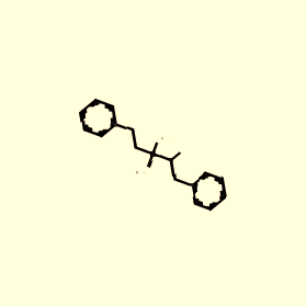 CCCCC(CCCC)(CCc1ccccc1)C(Cc1ccccc1)C(=O)O